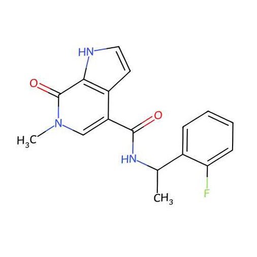 CC(NC(=O)c1cn(C)c(=O)c2[nH]ccc12)c1ccccc1F